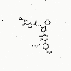 O=C(O)CC[C@H](NC(=O)c1cc(OCC(=O)N2CCC(C(=O)NC3CC3)C2)n(-c2ccccc2)n1)C(=O)N1CCN(C(=O)O)CC1